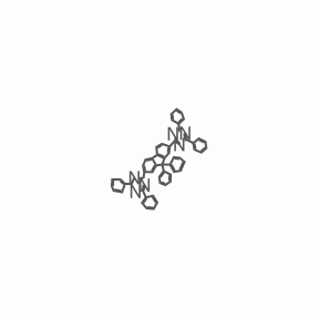 c1ccc(-c2nc(-c3ccccc3)nc(-c3ccc4c(c3)C(c3ccccc3)(c3ccccc3)c3cc(-c5nc(-c6ccccc6)nc(-c6ccccc6)n5)ccc3-4)n2)cc1